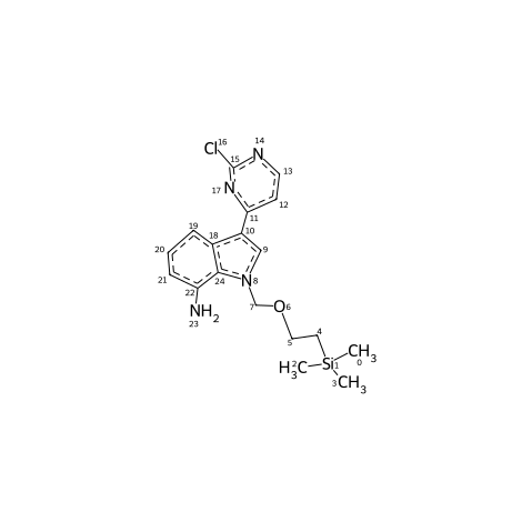 C[Si](C)(C)CCOCn1cc(-c2ccnc(Cl)n2)c2cccc(N)c21